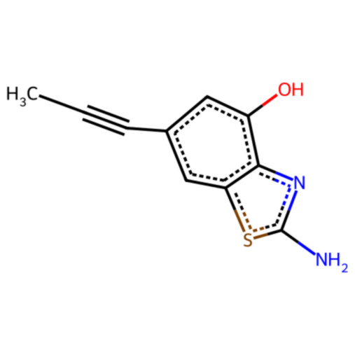 CC#Cc1cc(O)c2nc(N)sc2c1